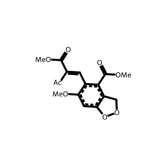 COC(=O)C(=Cc1c(OC)cc2c(c1C(=O)OC)COO2)C(C)=O